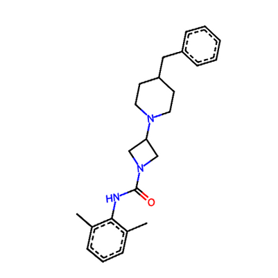 Cc1cccc(C)c1NC(=O)N1CC(N2CCC(Cc3ccccc3)CC2)C1